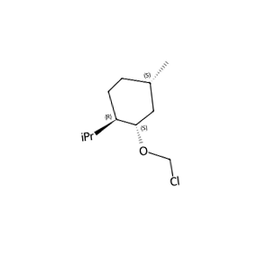 CC(C)[C@H]1CC[C@H](C)C[C@@H]1OCCl